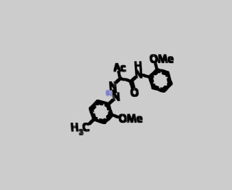 COc1cc(C)ccc1/N=N/C(C(C)=O)C(=O)Nc1ccccc1OC